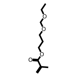 C=C(C)C(=O)OCCCOCOCC